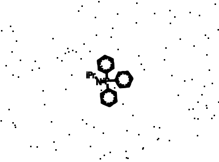 CC(C)N=P(c1ccccc1)(c1ccccc1)c1ccccc1